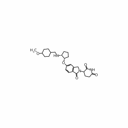 COC1CCC(CN[C@H]2CCC[C@H]2Oc2ccc3c(c2)CN(C2CCC(=O)NC2=O)C3=O)CC1